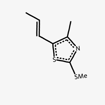 CC=Cc1sc(SC)nc1C